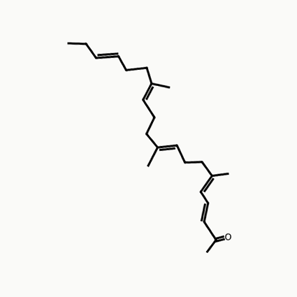 CCC=CCCC(C)=CCCC(C)=CCCC(C)=CC=CC(C)=O